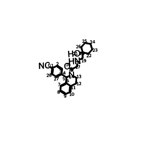 N#Cc1ccc(C2c3ccccc3CCN2C(=O)CNCC2(O)CCCCC2)cc1